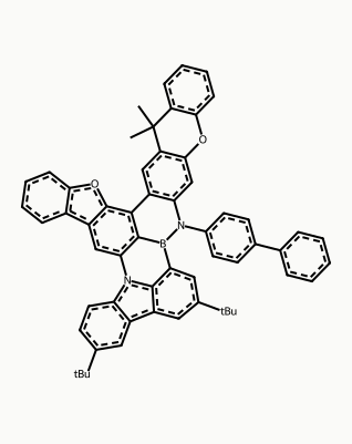 CC(C)(C)c1ccc2c(c1)c1cc(C(C)(C)C)cc3c1n2-c1cc2c(oc4ccccc42)c2c1B3N(c1ccc(-c3ccccc3)cc1)c1cc3c(cc1-2)C(C)(C)c1ccccc1O3